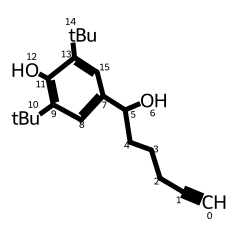 C#CCCCC(O)c1cc(C(C)(C)C)c(O)c(C(C)(C)C)c1